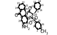 Cc1ccc(S(=O)(=O)N[C@@H](Cc2ccccc2)C(=O)n2c3ccccc3c(=O)c3cc(N)ccc32)cc1